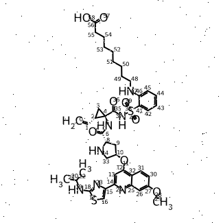 C=C[C@@H]1C[C@]1(NC(=O)[C@@H]1C[C@@H](Oc2cc(-c3csc(NC(C)C)n3)nc3cc(OC)ccc23)CN1)C(=O)NS(=O)(=O)c1ccccc1NCCCCCCCCC(=O)O